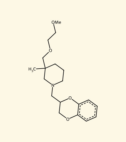 COCCOCC1(C)CCCN(CC2COc3ccccc3O2)C1